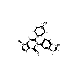 Cn1cnc2c(=O)n(-c3ccc4ncsc4c3)c([C@H]3CC[C@@H](C(F)(F)F)CC3)nc21